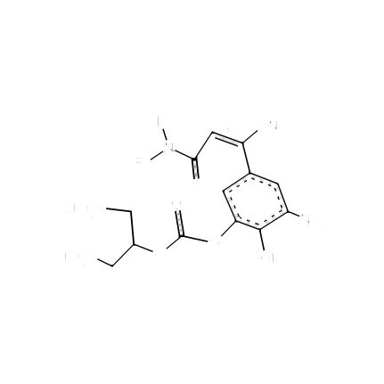 CCOC(=O)CC(CC(=O)OCC)OC(=O)Oc1cc(/C(C#N)=C\C(=O)N(CC)CC)cc([N+](=O)[O-])c1O